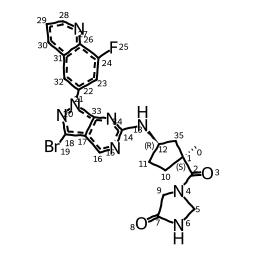 C[C@]1(C(=O)N2CNC(=O)C2)CC[C@@H](Nc2ncc3c(Br)nn(-c4cc(F)c5ncccc5c4)c3n2)C1